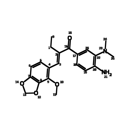 CC/C(=C\c1ccc2c(c1OC)OCO2)C(=O)c1ccc(N)c(N(C)C)c1